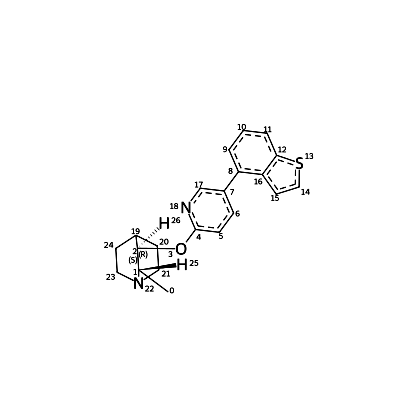 C[C@H]1[C@H](Oc2ccc(-c3cccc4sccc34)cn2)C2CCN1CC2